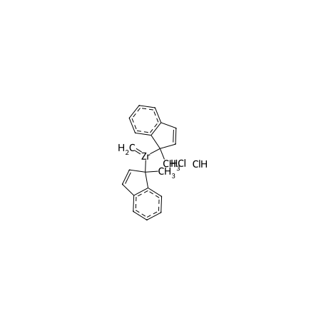 Cl.Cl.[CH2]=[Zr]([C]1(C)C=Cc2ccccc21)[C]1(C)C=Cc2ccccc21